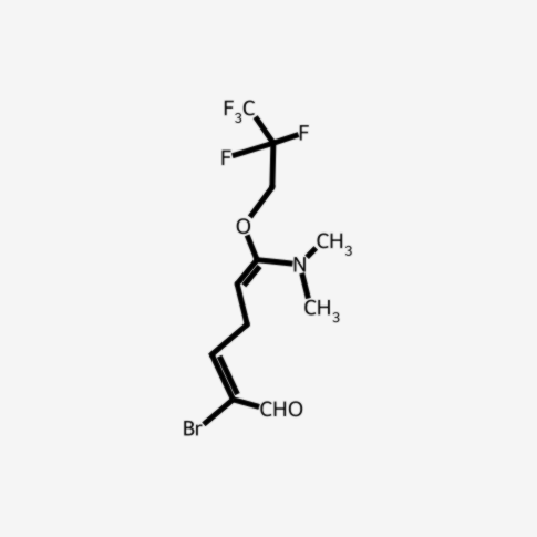 CN(C)/C(=C\C/C=C(/Br)C=O)OCC(F)(F)C(F)(F)F